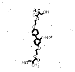 C=C(CO)C(=O)OCCOc1ccc(-c2ccc(OCCOC(=O)C(=C)CO)cc2CCCCCCC)cc1